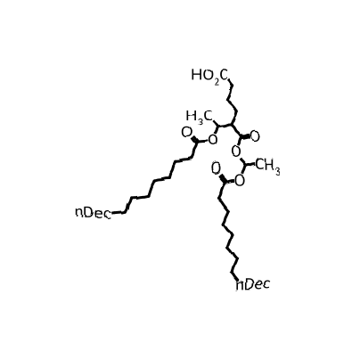 CCCCCCCCCCCCCCCCCC(=O)OC(C)OC(=O)C(CCCC(=O)O)C(C)OC(=O)CCCCCCCCCCCCCCCCC